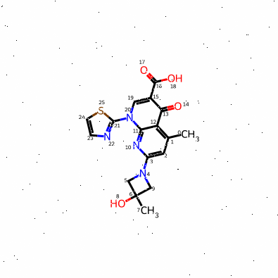 Cc1cc(N2CC(C)(O)C2)nc2c1c(=O)c(C(=O)O)cn2-c1nccs1